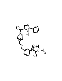 CC(=O)N(O)c1cccc(CCCN2CCN(C(=O)C3CSC(c4cccnc4)N3)CC2)c1